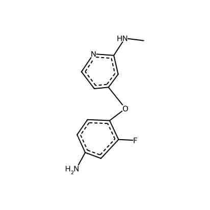 CNc1cc(Oc2ccc(N)cc2F)ccn1